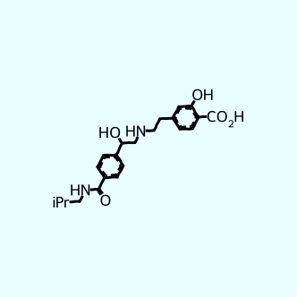 CC(C)CNC(=O)c1ccc(C(O)CNCCc2ccc(C(=O)O)c(O)c2)cc1